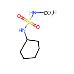 O=C(O)NS(=O)(=O)NC1CCCCC1